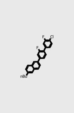 CCCCc1ccc2cc(-c3ccc(-c4ccc(Cl)c(F)c4)c(F)c3)ccc2c1